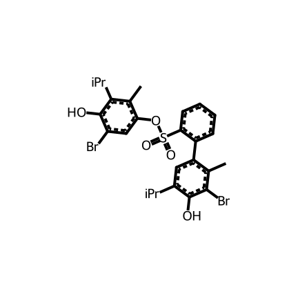 Cc1c(-c2ccccc2S(=O)(=O)Oc2cc(Br)c(O)c(C(C)C)c2C)cc(C(C)C)c(O)c1Br